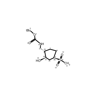 CC(C)(C)OC(=O)NC[C@@H]1CC[C@@H](S(C)(=O)=O)C[C@H]1O